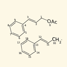 CC(=O)OC/C=C/c1ccccc1.[CH2]/C=C/c1ccccc1